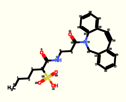 CCCCC(C(=O)NCCC(=O)N1Cc2ccccc2C#Cc2ccccc21)S(=O)(=O)O